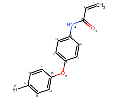 C=CC(=O)Nc1ccc(Oc2ccc(CC)cc2)cc1